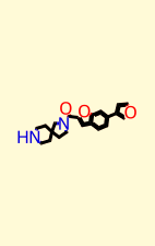 O=C(c1cc2ccc(-c3ccoc3)cc2o1)N1CCC2(CCNCC2)C1